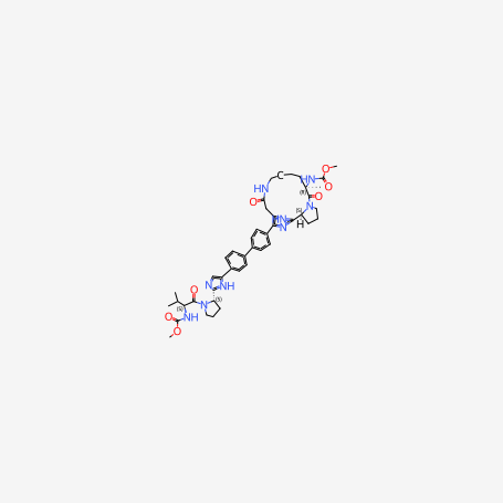 COC(=O)N[C@H](C(=O)N1CCC[C@H]1c1ncc(-c2ccc(-c3ccc(-c4nc5[nH]c4CC(=O)NCCCC[C@@](C)(NC(=O)OC)C(=O)N4CCC[C@@H]54)cc3)cc2)[nH]1)C(C)C